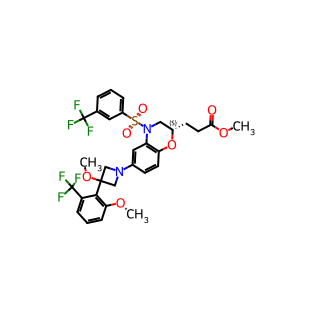 COC(=O)CC[C@H]1CN(S(=O)(=O)c2cccc(C(F)(F)F)c2)c2cc(N3CC(OC)(c4c(OC)cccc4C(F)(F)F)C3)ccc2O1